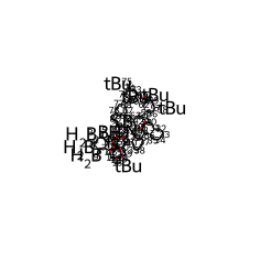 Bc1c(B)c(B)c2c(c1B)c1cc(C(C)(C)C)ccc1n2-c1cc2c3c(c1)N(c1c(-c4cccc5ccccc45)cccc1-c1cccc4ccccc14)c1ccc(-c4cc(C(C)(C)C)cc(C(C)(C)C)c4)cc1B3c1cc(-c3cc(C(C)(C)C)cc(C(C)(C)C)c3)ccc1S2